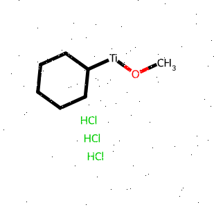 C[O][Ti][CH]1CCCCC1.Cl.Cl.Cl